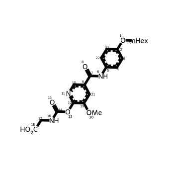 CCCCCCOc1ccc(NC(=O)c2cnc(OC(=O)NCC(=O)O)c(OC)c2)cc1